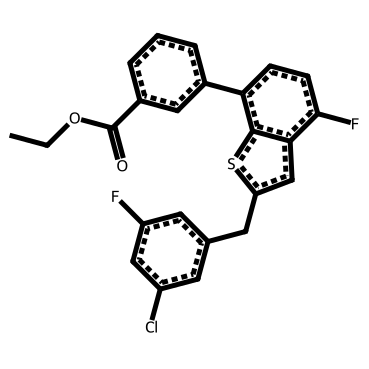 CCOC(=O)c1cccc(-c2ccc(F)c3cc(Cc4cc(F)cc(Cl)c4)sc23)c1